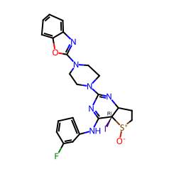 [O-][S+]1CCC2N=C(N3CCN(c4nc5ccccc5o4)CC3)N=C(Nc3cccc(F)c3)[C@]21I